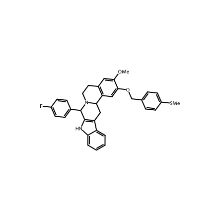 COc1cc2c(cc1OCc1ccc(SC)cc1)C1Cc3c([nH]c4ccccc34)C(c3ccc(F)cc3)N1CC2